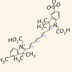 Cc1ccc2c(c1)C(C)(C)C(/C=C/C=C/C=C/C=C1/N(CC(=O)O)c3ccc(S(=O)(=O)[O-])cc3C1(C)C)=[N+]2CC(=O)O